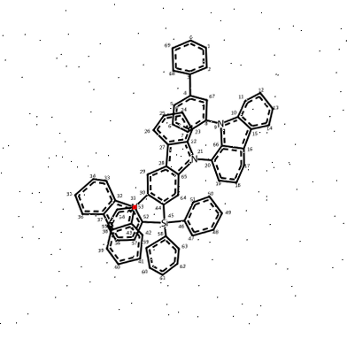 c1ccc(-c2cccc(-n3c4ccccc4c4cccc(-n5c6ccccc6c6cc(-n7c8ccccc8c8ccccc87)c([Si](c7ccccc7)(c7ccccc7)c7ccccc7)cc65)c43)c2)cc1